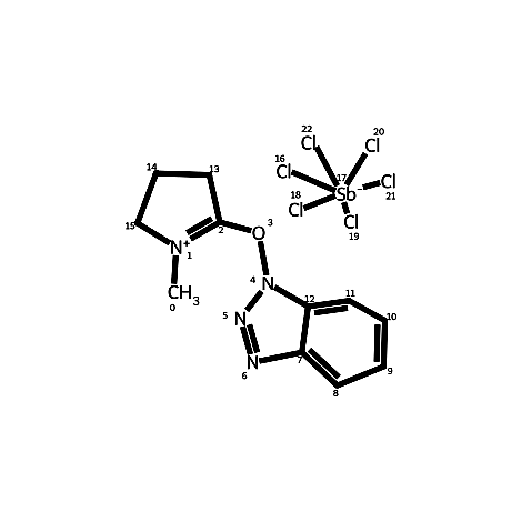 C[N+]1=C(On2nnc3ccccc32)CCC1.[Cl][Sb-]([Cl])([Cl])([Cl])([Cl])[Cl]